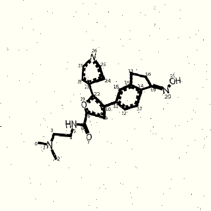 CN(C)CCNC(=O)c1cc(-c2ccc3c(c2)CCC3=NO)c(-c2ccncc2)o1